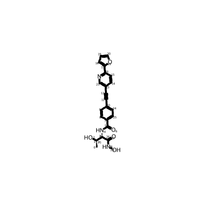 C[C@@H](O)[C@H](NC(=O)c1ccc(C#Cc2ccc(-c3ccco3)nc2)cc1)C(=O)NO